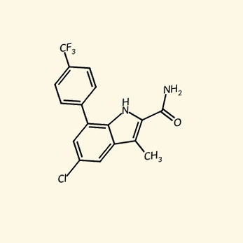 Cc1c(C(N)=O)[nH]c2c(-c3ccc(C(F)(F)F)cc3)cc(Cl)cc12